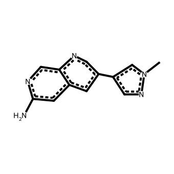 Cn1cc(-c2cnc3cnc(N)cc3c2)cn1